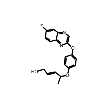 CC(/C=C/CO)Oc1ccc(Oc2cnc3cc(F)ccc3n2)cc1